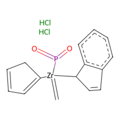 Cl.Cl.[CH2]=[Zr]([C]1=CC=CC1)([CH]1C=Cc2ccccc21)[P](=O)=O